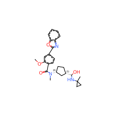 COc1cc(-c2nc3ccccc3o2)ccc1C(=O)N(C)[C@@H]1CC[C@H](C(O)NC2(C)CC2)C1